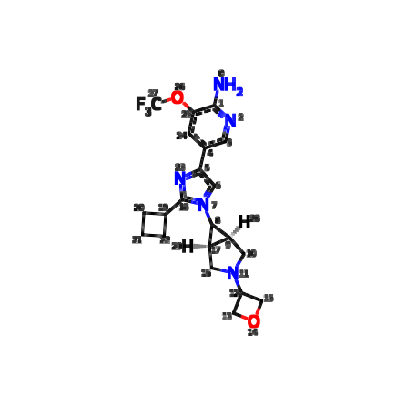 Nc1ncc(-c2cn(C3[C@H]4CN(C5COC5)C[C@@H]34)c(C3CCC3)n2)cc1OC(F)(F)F